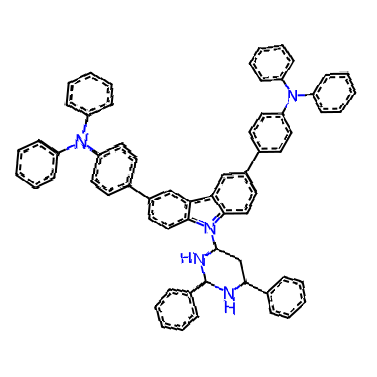 c1ccc(C2CC(n3c4ccc(-c5ccc(N(c6ccccc6)c6ccccc6)cc5)cc4c4cc(-c5ccc(N(c6ccccc6)c6ccccc6)cc5)ccc43)NC(c3ccccc3)N2)cc1